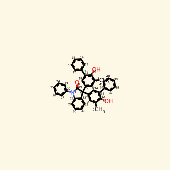 Cc1cc(C2(c3cc(C)c(O)c(-c4ccccc4)c3)C(=O)N(c3ccccc3)c3ccccc32)cc(-c2ccccc2)c1O